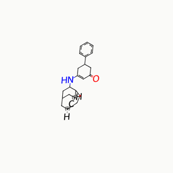 O=C1C=C(NC2CC3C[C@@H]4CCC2[C@H](C3)C4)CC(c2ccccc2)C1